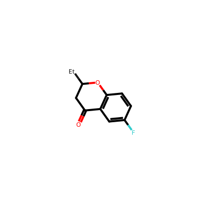 CCC1CC(=O)c2cc(F)ccc2O1